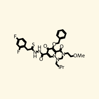 COCCN1CN(CC(C)C)n2cc(C(=O)NNC(=S)Cc3ccc(F)cc3F)c(=O)c(OCc3ccccc3)c2C1=O